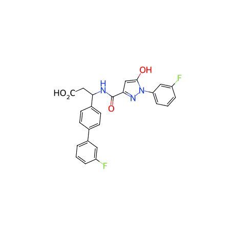 O=C(O)CC(NC(=O)c1cc(O)n(-c2cccc(F)c2)n1)c1ccc(-c2cccc(F)c2)cc1